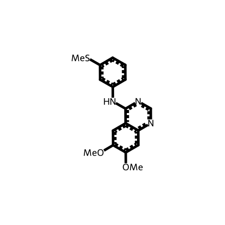 COc1cc2ncnc(Nc3cccc(SC)c3)c2cc1OC